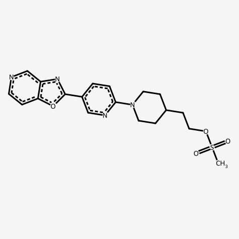 CS(=O)(=O)OCCC1CCN(c2ccc(-c3nc4cnccc4o3)cn2)CC1